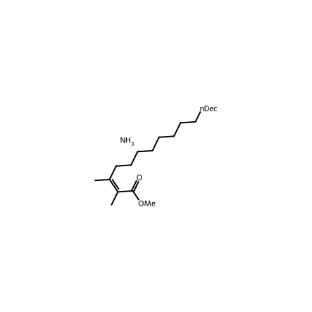 CCCCCCCCCCCCCCCCCCC(C)=C(C)C(=O)OC.N